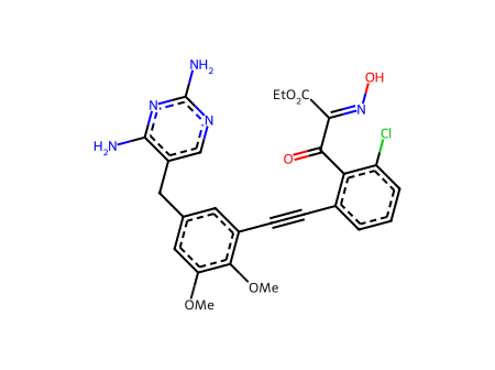 CCOC(=O)C(=NO)C(=O)c1c(Cl)cccc1C#Cc1cc(Cc2cnc(N)nc2N)cc(OC)c1OC